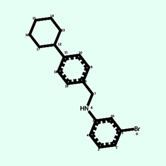 Brc1cccc(NCc2ccc(C3CCCCC3)cc2)c1